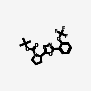 CC(C)(C)OC(=O)N1CCCC1c1nnc(-c2ccccc2OC(F)(F)F)o1